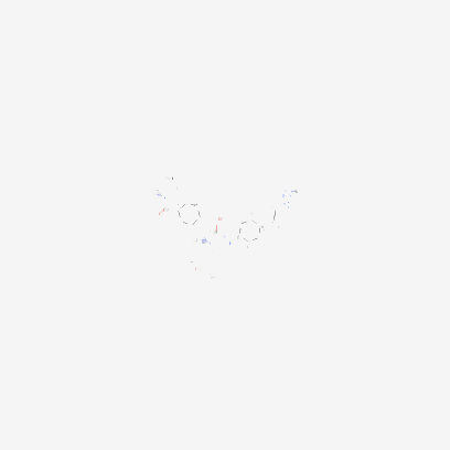 C=NN/C=C(\C)c1ccc(N2CC3(CCOCC3)N(Cc3cccc(C(=O)N(C)CC)c3)C2=O)cc1